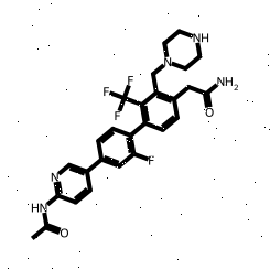 CC(=O)Nc1ccc(-c2ccc(-c3ccc(CC(N)=O)c(CN4CCNCC4)c3C(F)(F)F)c(F)c2)cn1